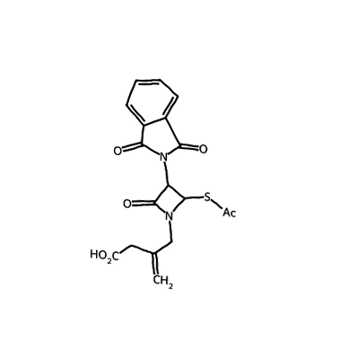 C=C(CC(=O)O)CN1C(=O)C(N2C(=O)c3ccccc3C2=O)C1SC(C)=O